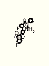 CNC(=O)c1c(-c2ccc(F)cc2)oc2cc(N)c(-c3cc(C(=O)N(c4ccccc4)C4CC4)ccc3F)cc12